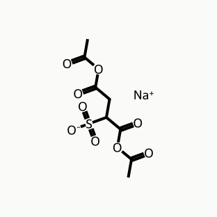 CC(=O)OC(=O)CC(C(=O)OC(C)=O)S(=O)(=O)[O-].[Na+]